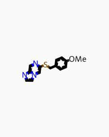 COc1ccc(CSc2cn3ccnc3cn2)cc1